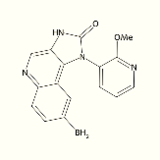 Bc1ccc2ncc3[nH]c(=O)n(-c4cccnc4OC)c3c2c1